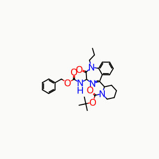 CCCN1C(=O)C(NC(=O)OCc2ccccc2)N=C(C2CCCCN2C(=O)OC(C)(C)C)c2ccccc21